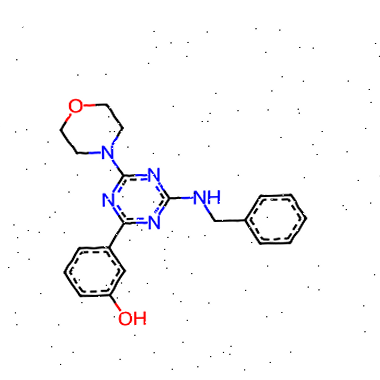 Oc1cccc(-c2nc(NCc3ccccc3)nc(N3CCOCC3)n2)c1